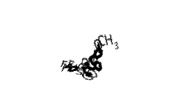 COc1cccc(Cn2c(=O)c3c(O)c(Sc4ccc(C(F)(F)F)cc4)c(=O)oc3c3ccccc32)c1